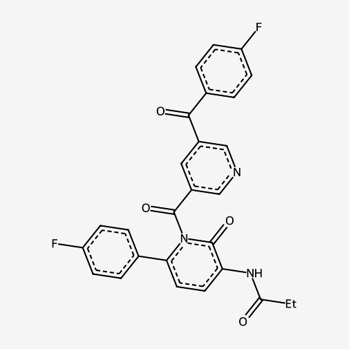 CCC(=O)Nc1ccc(-c2ccc(F)cc2)n(C(=O)c2cncc(C(=O)c3ccc(F)cc3)c2)c1=O